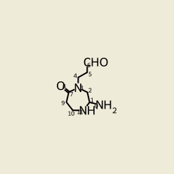 NC1CN(CCC=O)C(=O)CCN1